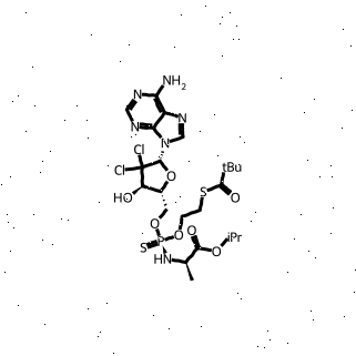 CC(C)OC(=O)[C@@H](C)N[P@](=S)(OCCSC(=O)C(C)(C)C)OC[C@H]1O[C@@H](n2cnc3c(N)ncnc32)C(Cl)(Cl)[C@@H]1O